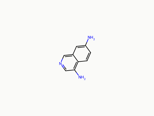 Nc1ccc2c(N)cncc2c1